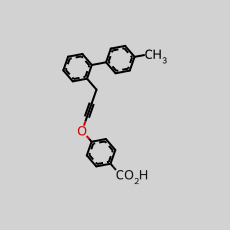 Cc1ccc(-c2ccccc2CC#COc2ccc(C(=O)O)cc2)cc1